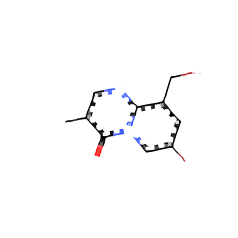 CCOC(=O)c1cnc2c(CBr)cc(Br)cn2c1=O